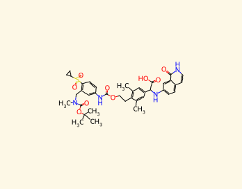 Cc1cc(C(Nc2ccc3cc[nH]c(=O)c3c2)C(=O)O)cc(C)c1CCOC(=O)Nc1ccc(S(=O)(=O)C2CC2)c(CN(C)C(=O)OC(C)(C)C)c1